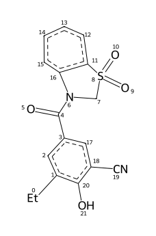 CCc1cc(C(=O)N2CS(=O)(=O)c3ccccc32)cc(C#N)c1O